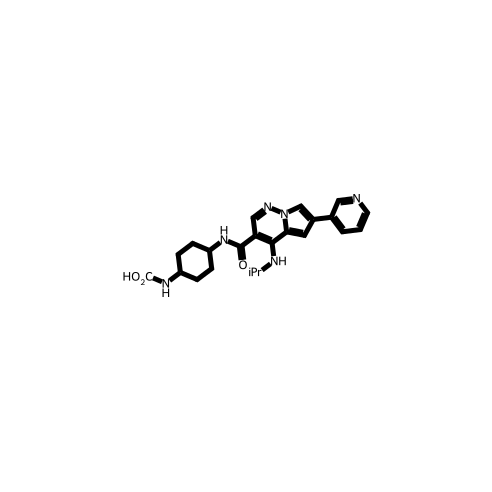 CC(C)Nc1c(C(=O)NC2CCC(NC(=O)O)CC2)cnn2cc(-c3cccnc3)cc12